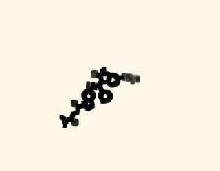 CN(C)C(=O)CCC(=O)n1ccc2cc(NC(=C3C(=O)N(C)c4cc(C(=O)O)ccc43)c3ccccc3)ccc21